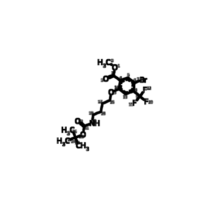 COC(=O)c1cc(Br)c(C(F)(F)F)cc1OCCCCNC(=O)OC(C)(C)C